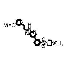 COc1ccnc(CCc2nc3cc(-c4cccc(S(=O)(=O)N5CCN(C)CC5)c4)cnc3[nH]2)c1